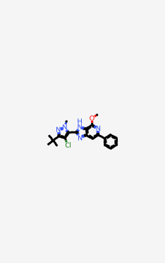 COc1nc(-c2ccccc2)cc2nc(-c3c(Cl)c(C(C)(C)C)nn3C)[nH]c12